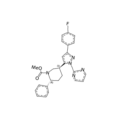 COC(=O)N1C[C@@H](c2cc(-c3ccc(F)cc3)nn2-c2ncccn2)CC[C@@H]1c1ccccc1